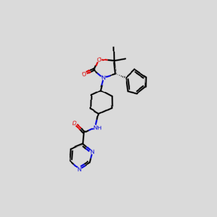 CC1(C)OC(=O)N(C2CCC(NC(=O)c3ccncn3)CC2)[C@H]1c1ccccc1